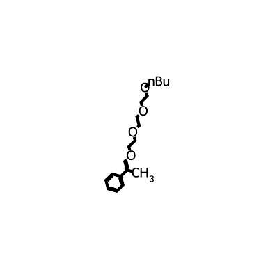 CCCCOCCOCCOCCOC=C(C)c1ccccc1